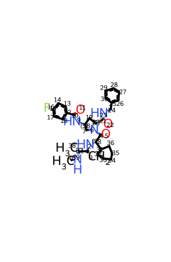 C=C(N[C@H](C(=O)N1C[C@@H](NC(=O)c2ccc(F)cc2)C[C@H]1C(=O)NCc1ccccc1)C1CCCCC1)[C@H](C)NC